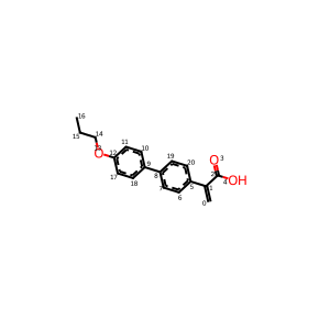 C=C(C(=O)O)c1ccc(-c2ccc(OCCC)cc2)cc1